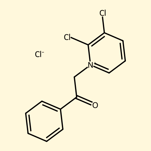 O=C(C[n+]1cccc(Cl)c1Cl)c1ccccc1.[Cl-]